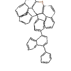 c1ccc(-c2ccc(-c3ccc(C4(c5ccccc5)c5c(ccc6ccccc56)Sc5ccc6ccccc6c54)cc3)c3ccccc23)cc1